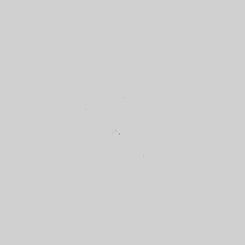 O=C1NC(=O)C2CCC1C2